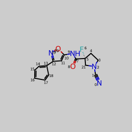 N#CN1CC[C@](F)(C(=O)Nc2cc(-c3ccccc3)no2)C1